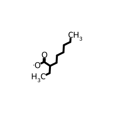 CCCCCCC(CC)C([O])=O